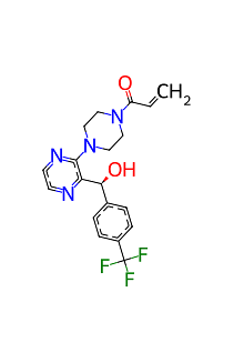 C=CC(=O)N1CCN(c2nccnc2[C@@H](O)c2ccc(C(F)(F)F)cc2)CC1